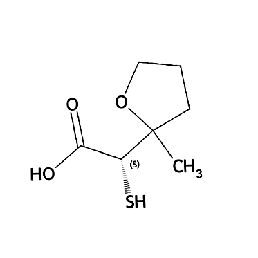 CC1([C@H](S)C(=O)O)CCCO1